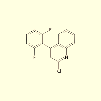 Fc1cccc(F)c1-c1cc(Cl)nc2ccccc12